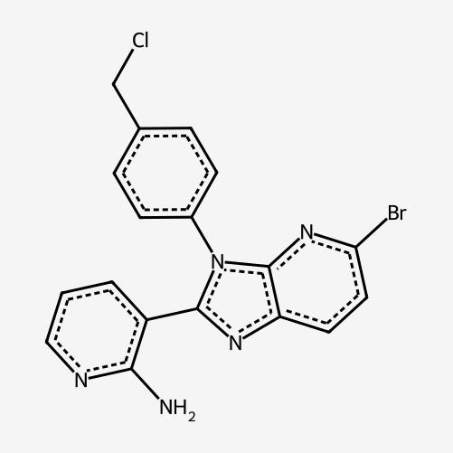 Nc1ncccc1-c1nc2ccc(Br)nc2n1-c1ccc(CCl)cc1